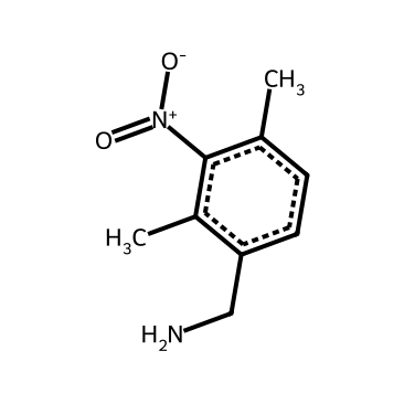 Cc1ccc(CN)c(C)c1[N+](=O)[O-]